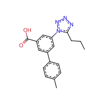 CCCc1nnnn1-c1cc(C(=O)O)cc(-c2ccc(C)cc2)c1